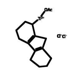 CC(=O)[O][Ti+2][CH]1CCCC2=C1CC1=C2CCCC1.[Cl-].[Cl-]